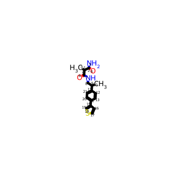 CC(C(N)=O)C(=O)NCC(C)c1ccc(-c2ccsc2)cc1